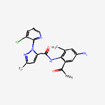 CNC(=O)c1cc(N)cc(C)c1NC(=O)c1cc(C(F)(F)F)nn1-c1ncccc1Cl